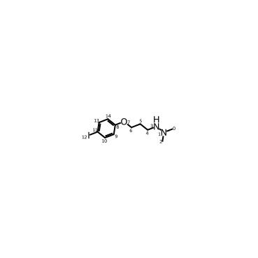 CN(C)NCCCOc1ccc(I)cc1